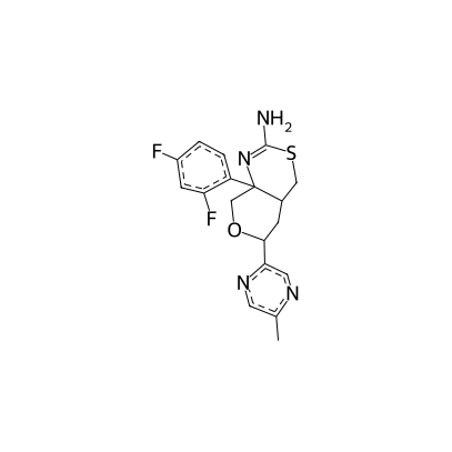 Cc1cnc(C2CC3CSC(N)=NC3(c3ccc(F)cc3F)CO2)cn1